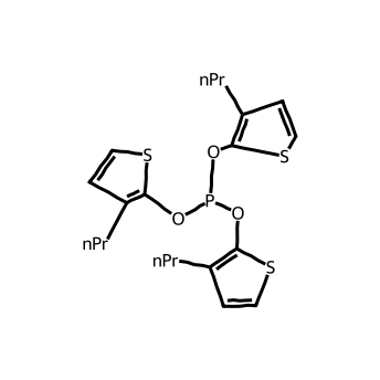 CCCc1ccsc1OP(Oc1sccc1CCC)Oc1sccc1CCC